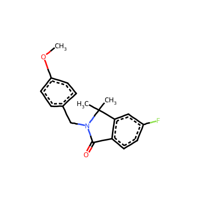 COc1ccc(CN2C(=O)c3ccc(F)cc3C2(C)C)cc1